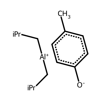 CC(C)[CH2][Al+][CH2]C(C)C.Cc1ccc([O-])cc1